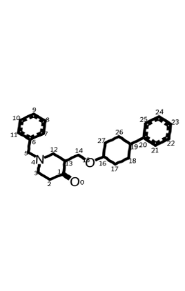 O=C1CCN(Cc2ccccc2)CC1COC1CCC(c2ccccc2)CC1